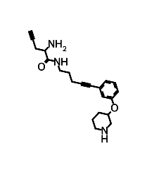 C#CCC(N)C(=O)NCCCC#Cc1cccc(OC2CCCNC2)c1